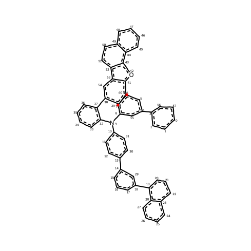 c1ccc(-c2cccc(N(c3ccc(-c4cccc(-c5cccc6ccccc56)c4)cc3)c3ccccc3-c3ccc4oc5c6ccccc6ccc5c4c3)c2)cc1